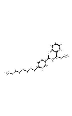 CCCCCCCCc1ccc(C(=O)OC(CC)c2ccccc2)cn1